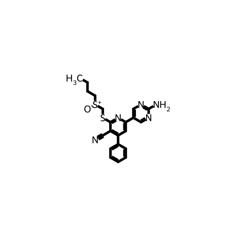 CCCC[S+]([O-])CSc1nc(-c2cnc(N)nc2)cc(-c2ccccc2)c1C#N